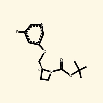 CC(C)(C)OC(=O)N1CC[C@H]1COc1cncc(F)c1